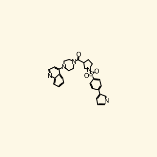 O=C(C1CCN(S(=O)(=O)c2ccc(-c3cccnc3)cc2)C1)N1CCN(c2ccnc3ccccc23)CC1